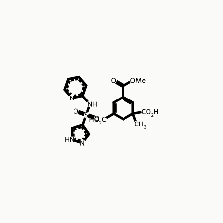 COC(=O)C1=CC(C)(C(=O)O)CC(C(=O)O)=C1.O=S(=O)(Nc1ccccn1)c1cn[nH]c1